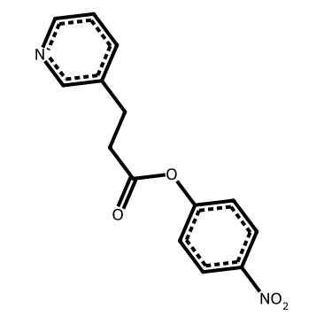 O=C(CCc1cccnc1)Oc1ccc([N+](=O)[O-])cc1